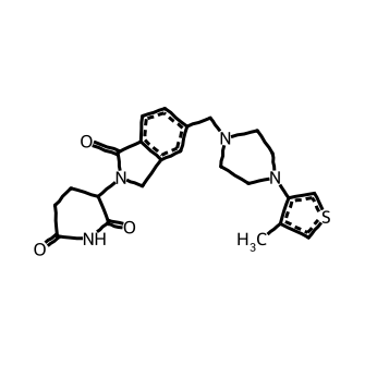 Cc1cscc1N1CCN(Cc2ccc3c(c2)CN(C2CCC(=O)NC2=O)C3=O)CC1